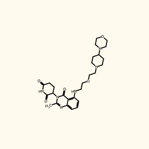 Cc1nc2cccc(NCCOCCN3CCC(N4CCOCC4)CC3)c2c(=O)n1C1CCC(=O)NC1=O